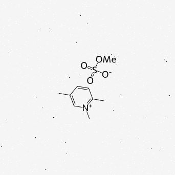 COS(=O)(=O)[O-].Cc1ccc(C)[n+](C)c1